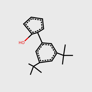 CC(C)(C)c1cc(-c2ccccc2O)cc(C(C)(C)C)c1